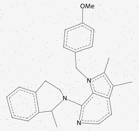 COc1ccc(Cn2c(C)c(C)c3ccnc(N4CCc5ccccc5C4C)c32)cc1